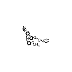 COc1cccc(CN(Cc2cccc(-n3ccnc3)c2)c2ccc(OCCOCCN3CCOCC3)cn2)c1